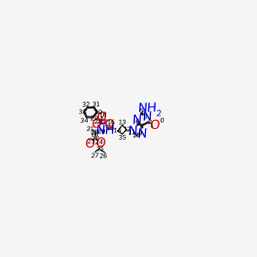 COc1nc(N)nc2c1ncn2[C@H]1C[C@@H](COP(=O)(N[C@@H](C)C(=O)OC(C)C)Oc2ccccc2)C1